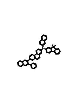 CC1(C)c2ccccc2-c2ccc(N(c3ccc4ccccc4c3)c3ccc4c(ccc5cc(-c6cc7ccccc7cc6-c6ccccc6)ccc54)c3)cc21